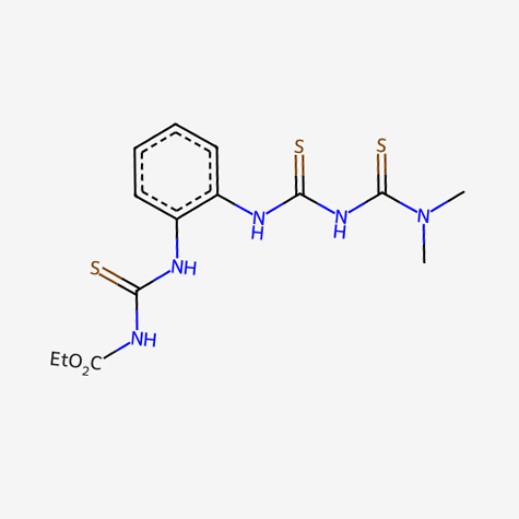 CCOC(=O)NC(=S)Nc1ccccc1NC(=S)NC(=S)N(C)C